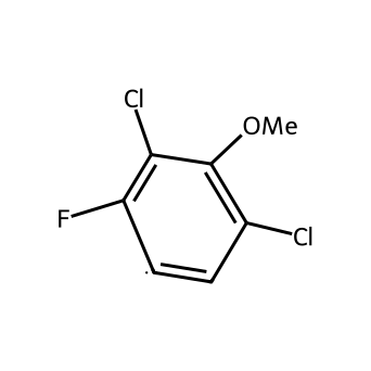 COc1c(Cl)c[c]c(F)c1Cl